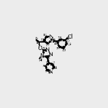 CC(Oc1nnc(-c2ccncc2)n1C)c1cnn(-c2cccc(Cl)c2)c1